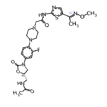 CO/N=C(\C)c1cnc(NC(=O)CN2CCN(c3ccc(N4C[C@H](CNC(C)=O)OC4=O)cc3F)CC2)s1